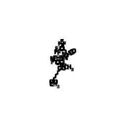 CC[C@@H]1C[C@H](Nc2ncc(N3CCOCC3)c(Cc3cc(C(F)(F)F)cc(C(F)(F)F)c3)n2)c2cc(C(F)(F)F)ccc2N1C(=O)OCCCCCCC(=O)OC